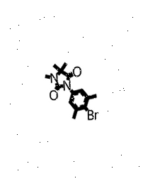 Cc1cc(N2C(=O)N(C)C(C)(C)C2=O)cc(C)c1Br